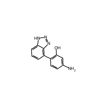 Nc1ccc(-c2cccc3[nH]nnc23)c(O)c1